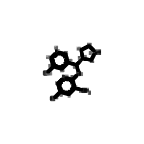 Cc1cc(Cl)cnc1OC(c1cncc(Cl)c1)[C@H]1CCNC1